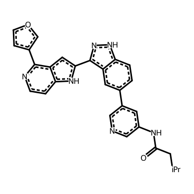 CC(C)CC(=O)Nc1cncc(-c2ccc3[nH]nc(-c4cc5c(-c6ccoc6)nccc5[nH]4)c3c2)c1